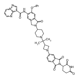 CC(C)Oc1cc2c(cc1NC(=O)c1cnn3cccnc13)CN(C1CCN(C(C)(C)C3CN(c4ccc5c(c4)C(=O)N(C4CCC(=O)NC4=O)C5=O)C3)CC1)C2=O